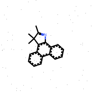 CC1=Nc2c(c3ccccc3c3ccccc23)C1(C)C